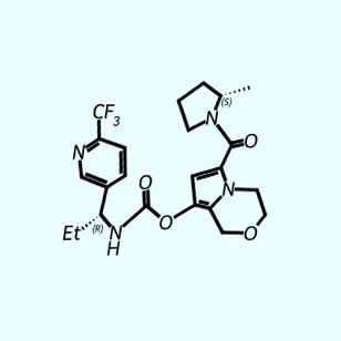 CC[C@@H](NC(=O)Oc1cc(C(=O)N2CCC[C@@H]2C)n2c1COCC2)c1ccc(C(F)(F)F)nc1